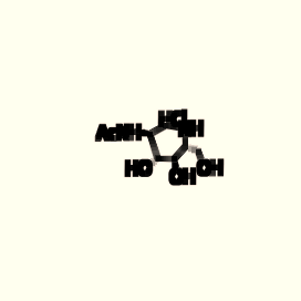 CC(=O)N[C@H]1CN[C@H](CO)[C@@H](O)[C@@H]1O.Cl